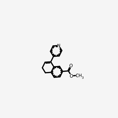 COC(=O)c1ccc2c(c1)C(c1ccncc1)=CCC2